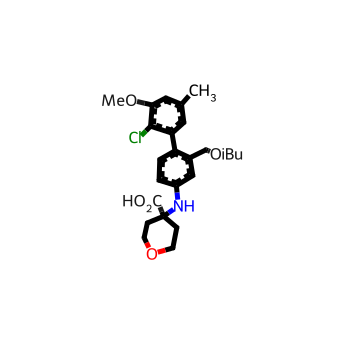 COc1cc(C)cc(-c2ccc(NC3(C(=O)O)CCOCC3)cc2COCC(C)C)c1Cl